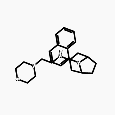 c1ccc2c(N3C4CCC3CC(NCCN3CCOCC3)C4)cccc2c1